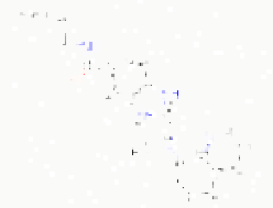 CNCCNC(=O)c1ccc2[nH]c(CN(C)C3CCCc4cccnc43)nc2c1